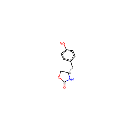 O=C1N[C@@H](Cc2ccc(O)cc2)CO1